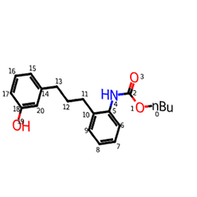 CCCCOC(=O)Nc1ccccc1CCCc1cccc(O)c1